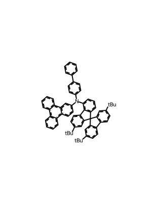 CC(C)(C)c1ccc2c(c1)C1(c3cc(C(C)(C)C)ccc3-2)c2cc(C(C)(C)C)ccc2-c2c(N(c3ccc(-c4ccccc4)cc3)c3ccc4c5ccccc5c5ccccc5c4c3)cccc21